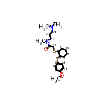 COc1ccc(S[C@@H]2CCCC[C@H]2SCC(=O)N(C)CCCN(C)C)cc1